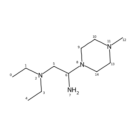 CCN(CC)CC(N)N1CCN(C)CC1